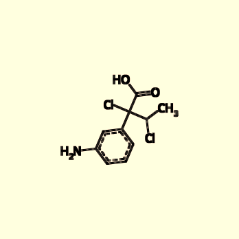 CC(Cl)C(Cl)(C(=O)O)c1cccc(N)c1